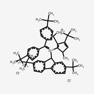 CCC1=[C]([Zr+2](=[C](c2ccc(C(C)(C)C)cc2)c2ccc(C(C)(C)C)cc2)[CH]2c3cc(C(C)(C)C)ccc3-c3ccc(C(C)(C)C)cc32)C(C)C=C1C(C)(C)C.[Cl-].[Cl-]